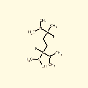 CN(C)[Si](C)(F)CC[Si](F)(N(C)C)N(C)C